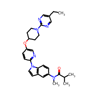 CCc1cnc(N2CCC(Oc3ccc(-n4ccc5cc(N(C)C(=O)C(C)C)ccc54)nc3)CC2)nc1